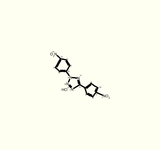 Cl.O=[N+]([O-])c1ccc(-c2nnn(-c3ccc([N+](=O)[O-])cc3)n2)cc1